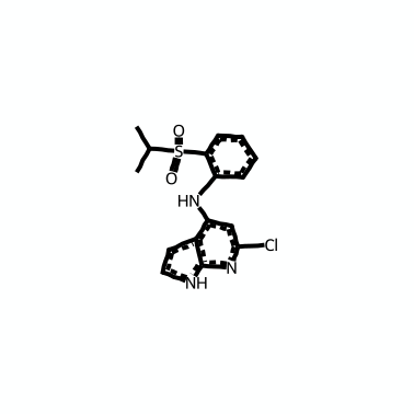 CC(C)S(=O)(=O)c1ccccc1Nc1cc(Cl)nc2[nH]ccc12